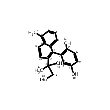 Cc1cccc2c(-c3cc(O)ccc3O)c(C(C)(C)CC(C)(C)C)ccc12